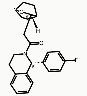 O=C(C[C@@H]1CN2CCC1CC2)N1CCc2ccccc2[C@H]1c1ccc(F)cc1